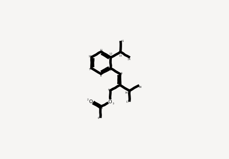 CC(=O)OCC(=Cc1ccccc1C(C)C)C(C)C